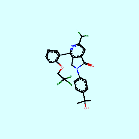 CC(C)(O)c1ccc(N2Cc3c(cc(C(F)F)nc3-c3ccccc3OCC(F)(F)F)C2=O)cc1